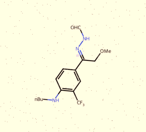 CCCCNc1ccc(/C(COC)=N/NC=O)cc1C(F)(F)F